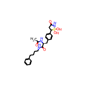 CC(=O)N[C@@H](Cc1ccc(C2CC(=O)NS2(O)O)cc1)C(=O)NCCCCc1ccccc1